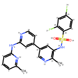 Cc1cccc(Nc2cc(-c3cnc(C)c(NS(=O)(=O)c4ccc(F)cc4F)c3)ccn2)n1